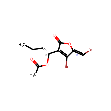 CCC[C@@H](OC(C)=O)C1=C(Br)/C(=C/Br)OC1=O